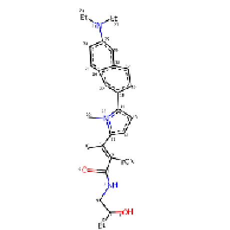 CCC(O)CNC(=O)/C(C#N)=C(\C)c1ccc(-c2ccc3cc(N(CC)CC)ccc3c2)n1C